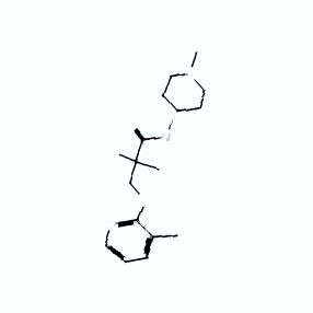 Cc1cccnc1OCC(C)(C)C(=O)N[C@@H]1CCN(C)C[C@H]1C